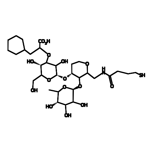 CC1O[C@@H](OC2C(CNC(=O)CCCS)OCC[C@H]2O[C@@H]2OC(CO)[C@H](O)C(OC(CC3CCCCC3)C(=O)O)C2O)C(O)C(O)[C@@H]1O